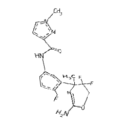 Cn1ccc(C(=O)Nc2ccc(F)c(C3(C)N=C(N)OCC3(F)F)c2)n1